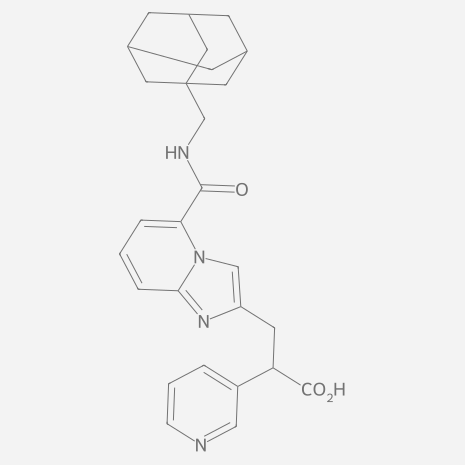 O=C(NCC12CC3CC(CC(C3)C1)C2)c1cccc2nc(CC(C(=O)O)c3cccnc3)cn12